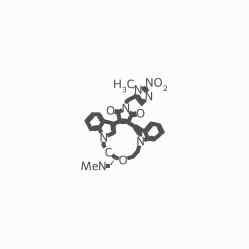 CNC[C@@H]1CCn2cc(c3ccccc32)C2=C(C(=O)N(Cc3cnc([N+](=O)[O-])n3C)C2=O)c2cn(c3ccccc23)CCO1